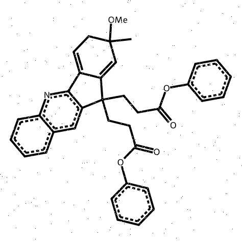 COC1(C)C=C2C(=CC1)c1nc3ccccc3cc1C2(CCC(=O)Oc1ccccc1)CCC(=O)Oc1ccccc1